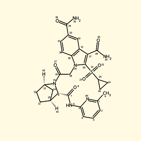 Cc1cccc(NC(=O)[C@@H]2[C@H]3CC[C@H](C3)N2C(=O)Cn2c(S(=O)(=O)C3CC3)c(C(N)=O)c3cc(C(N)=O)ccc32)n1